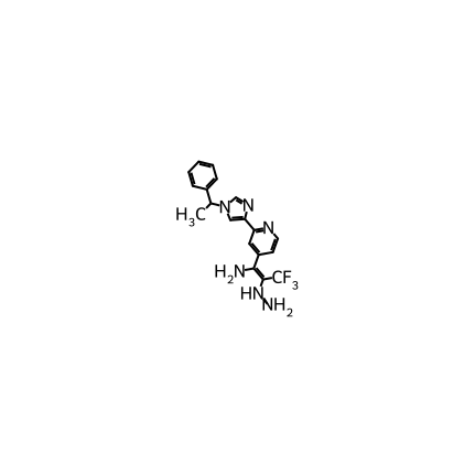 CC(c1ccccc1)n1cnc(-c2cc(/C(N)=C(/NN)C(F)(F)F)ccn2)c1